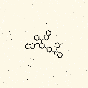 CC1C=C(n2c(-c3ccc(-c4ccc5c(C6=CC=C7C=CC=CC7C6)c6c(c(-c7ccc8ccccc8c7)c5c4)=CCCC=6)cc3)nc3ccccc32)CCC1